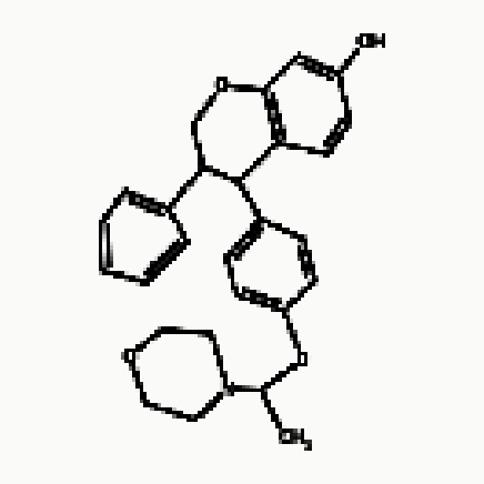 CC(Oc1ccc(C2c3ccc(O)cc3OCC2c2ccccc2)cc1)N1CCOCC1